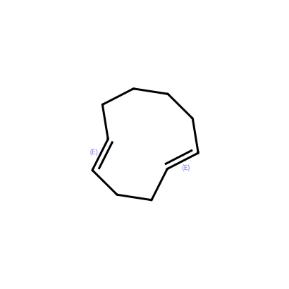 C1=C/CCCC/C=C/CC/1